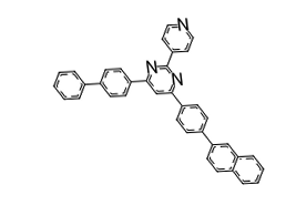 c1ccc(-c2ccc(-c3cc(-c4ccc(-c5ccc6ccccc6c5)cc4)nc(-c4ccncc4)n3)cc2)cc1